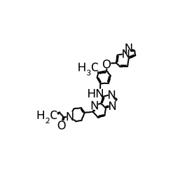 C=CC(=O)N1CC=C(c2ccc3ncnc(Nc4ccc(Oc5ccc6ccnn6c5)c(C)c4)c3n2)CC1